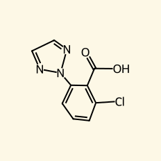 O=C(O)c1c(Cl)cccc1-n1nccn1